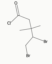 CC(C)(CC(=O)Cl)C(Br)CBr